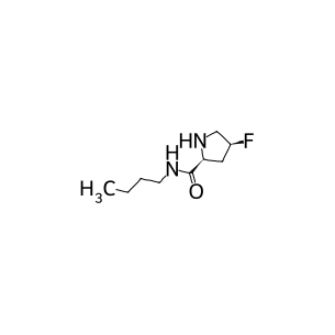 CCCCNC(=O)[C@@H]1C[C@H](F)CN1